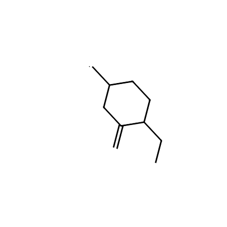 [CH2]C1CCC(CC)C(=C)C1